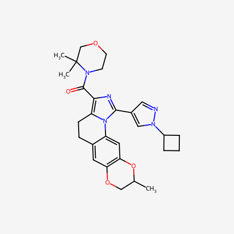 CC1COc2cc3c(cc2O1)-n1c(-c2cnn(C4CCC4)c2)nc(C(=O)N2CCOCC2(C)C)c1CC3